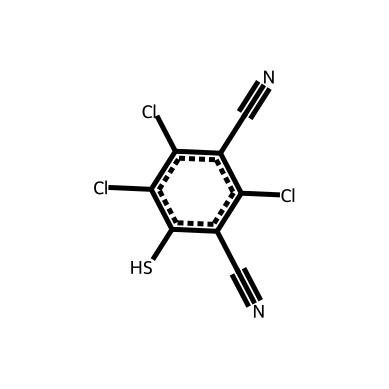 N#Cc1c(S)c(Cl)c(Cl)c(C#N)c1Cl